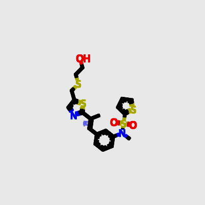 C/C(=C\c1cccc(N(C)S(=O)(=O)c2cccs2)c1)c1ncc(CSCCO)s1